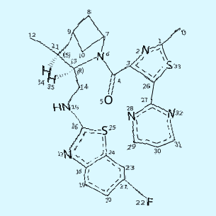 Cc1nc(C(=O)N2C3CC(C3)[C@H](C)[C@@H]2CNc2nc3ccc(F)cc3s2)c(-c2ncccn2)s1